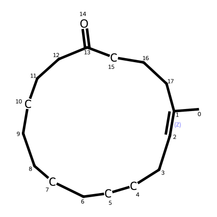 C/C1=C/CCCCCCCCCCC(=O)CCC1